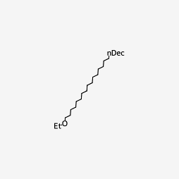 CCCCCCCCCCCCCCCCCCCCCCCCCCOCC